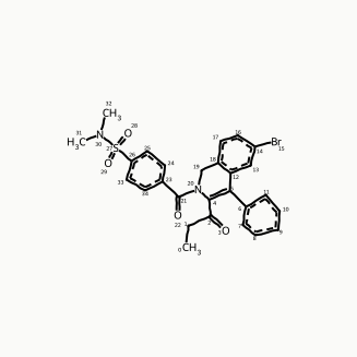 CCC(=O)C1=C(c2ccccc2)c2cc(Br)ccc2CN1C(=O)c1ccc(S(=O)(=O)N(C)C)cc1